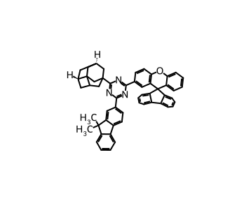 CC1(C)c2ccccc2-c2ccc(-c3nc(-c4ccc5c(c4)C4(c6ccccc6O5)c5ccccc5-c5ccccc54)nc(C45CC6C[C@@H]7C[C@@H](C4)CC67C5)n3)cc21